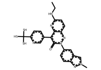 CCNc1ccc2nn(-c3ccc4nn(C)cc4c3)c(=O)c(-c3ccc(C(S)(S)S)nc3)c2n1